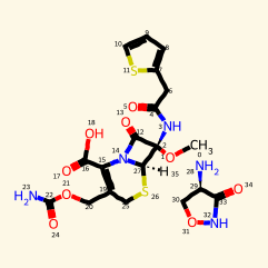 CO[C@@]1(NC(=O)Cc2cccs2)C(=O)N2C(C(=O)O)=C(COC(N)=O)CS[C@@H]21.N[C@@H]1CONC1=O